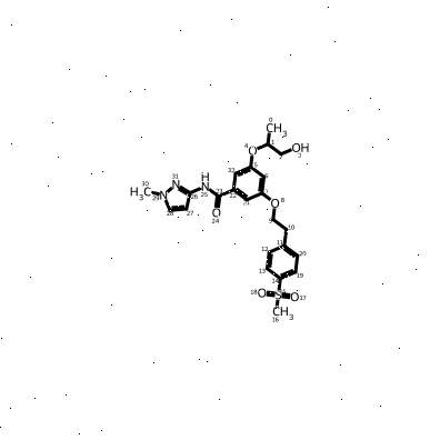 CC(CO)Oc1cc(OCCc2ccc(S(C)(=O)=O)cc2)cc(C(=O)Nc2ccn(C)n2)c1